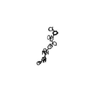 O=C(C1CC(=O)N(c2cccc(Cl)c2)C1)N1CCC(c2nc(-c3cnn(C4COC4)c3)no2)CC1